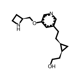 OCC[C@@H]1C[C@@H]1CCc1cncc(OC[C@@H]2CCN2)c1